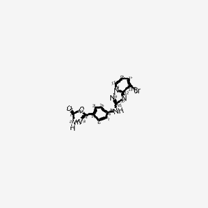 O=c1[nH]nc(-c2ccc(Nc3nc4c(Br)cccn4n3)cc2)o1